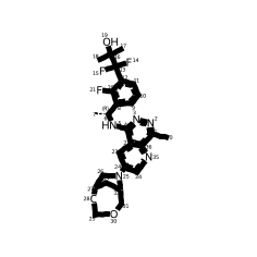 Cc1nnc(N[C@H](C)c2cccc(C(F)(F)C(C)(C)O)c2F)c2cc(N3CC4CCOCC3C4)cnc12